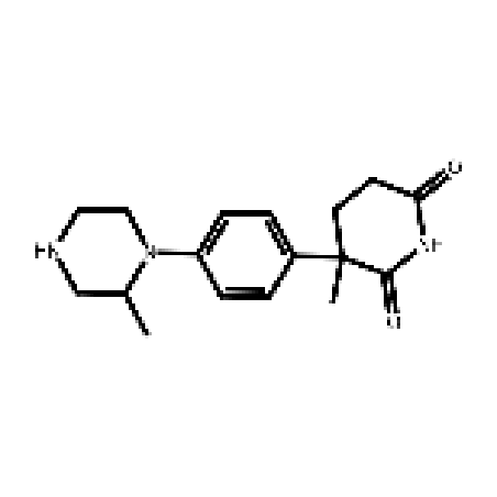 CC1CNCCN1c1ccc(C2(C)CCC(=O)NC2=O)cc1